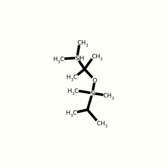 CC(C)[Si](C)(C)OC(C)(C)[SiH](C)C